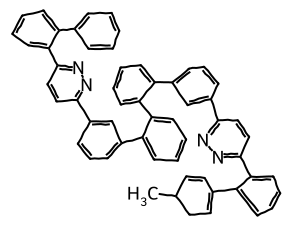 CC1C=CC(c2ccccc2-c2ccc(-c3cccc(-c4ccccc4-c4ccccc4-c4cccc(-c5ccc(-c6ccccc6-c6ccccc6)nn5)c4)c3)nn2)=CC1